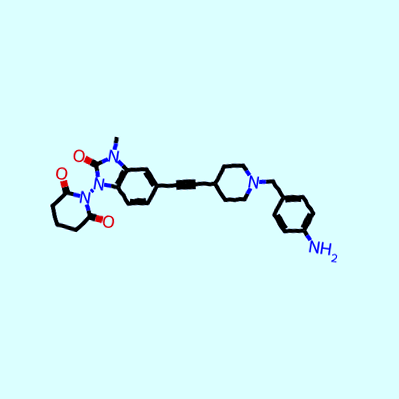 Cn1c(=O)n(N2C(=O)CCCC2=O)c2ccc(C#CC3CCN(Cc4ccc(N)cc4)CC3)cc21